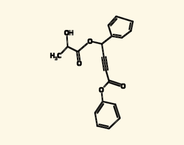 CC(O)C(=O)OC(C#CC(=O)Oc1ccccc1)c1ccccc1